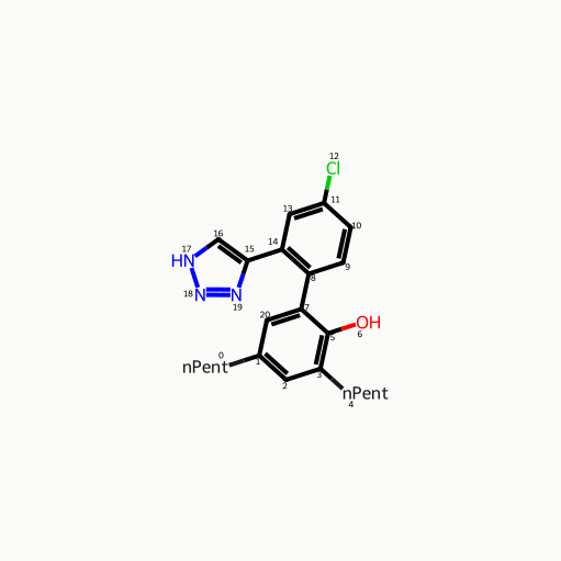 CCCCCc1cc(CCCCC)c(O)c(-c2ccc(Cl)cc2-c2c[nH]nn2)c1